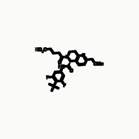 COCc1ccc2c(n1)CCN(C(=O)CCCC(=O)O)[C@H]2C(=O)Nc1cc(F)c(S(C)(C)C)c(F)c1